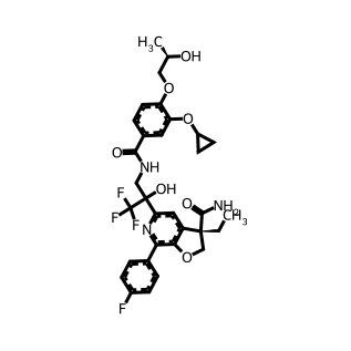 CC[C@@]1(C(N)=O)COc2c1cc(C(O)(CNC(=O)c1ccc(OC[C@@H](C)O)c(OC3CC3)c1)C(F)(F)F)nc2-c1ccc(F)cc1